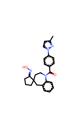 Cc1ccn(-c2ccc(C(=O)N3CCC4(CCCC4=NO)Cc4ccccc43)cc2)n1